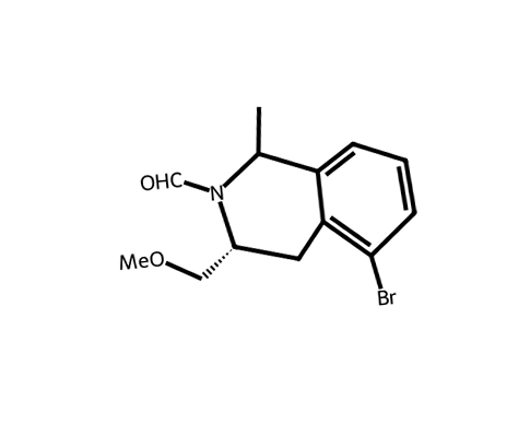 COC[C@H]1Cc2c(Br)cccc2C(C)N1C=O